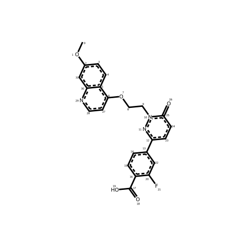 COc1ccc2c(OCCn3nc(-c4ccc(C(=O)O)c(F)c4)ccc3=O)ccnc2c1